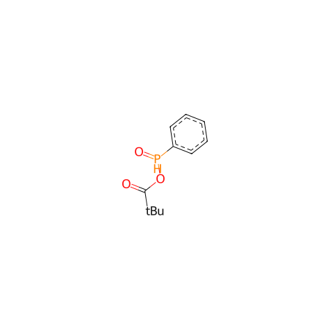 CC(C)(C)C(=O)O[PH](=O)c1ccccc1